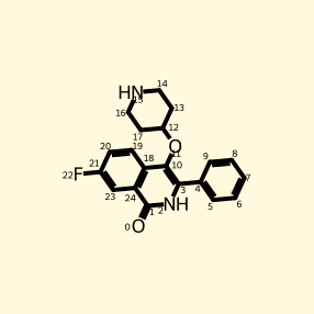 O=c1[nH]c(-c2ccccc2)c(OC2CCNCC2)c2ccc(F)cc12